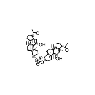 CC(=O)[C@H]1CC[C@H]2[C@@H]3CC=C4C[C@@H](OS(=O)(=O)O[C@H]5CC[C@@]6(C)C(=CC[C@@H]7[C@@H]6[C@@H](O)C[C@]6(C)[C@@H](C(C)=O)CC[C@@H]76)C5)CC[C@]4(C)[C@H]3[C@@H](O)C[C@]12C